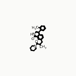 Cc1ccccc1-c1c[nH]c(=O)c2cc(CC(C)C(=O)N3CCCCC3)ccc12